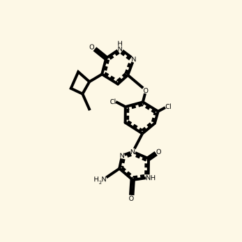 CC1CCC1c1cc(Oc2c(Cl)cc(-n3nc(N)c(=O)[nH]c3=O)cc2Cl)n[nH]c1=O